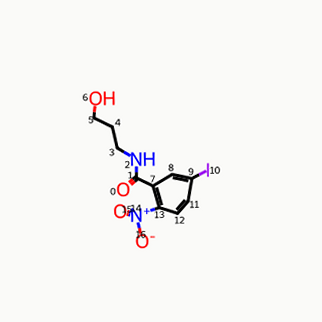 O=C(NCCCO)c1cc(I)ccc1[N+](=O)[O-]